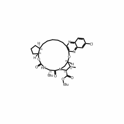 C[C@@H]1[C@@H]2CN(C(=O)[C@H](C(C)(C)C)NC(=O)O[C@@H]3CCC[C@H]3CCCCCc3nc4ccc(Cl)cc4nc3O2)[C@@H]1C(=O)OC(C)(C)C